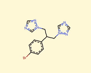 Brc1ccc(C(Cn2cncn2)Cn2cncn2)cc1